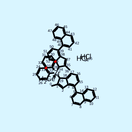 CC1=Cc2c(-c3cccc4ccccc34)cccc2[CH]1[Zr](=[GeH2])([c]1ccccc1)([c]1ccccc1)[CH]1C(C)=Cc2c(-c3cccc4ccccc34)cccc21.Cl.Cl